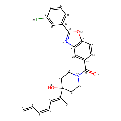 C=C/C=C\C=C(/C)C1(O)CCN(C(=O)c2ccc3oc(-c4cccc(F)c4)nc3c2)CC1